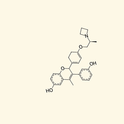 CC1=C(c2cccc(O)c2)C(C2=CC=C(OC[C@H](C)N3CCC3)CC2)Oc2ccc(O)cc21